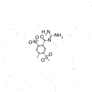 Cc1cc([N+](=O)[O-])c(C(=O)N=C(N)N)cc1S(C)(=O)=O